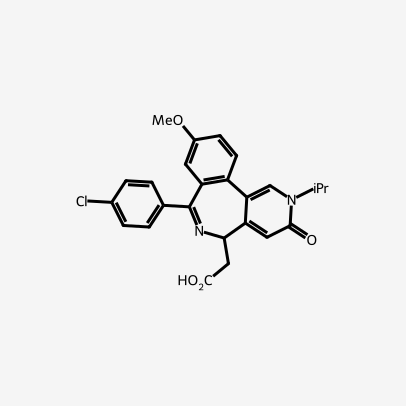 COc1ccc2c(c1)C(c1ccc(Cl)cc1)=NC(CC(=O)O)c1cc(=O)n(C(C)C)cc1-2